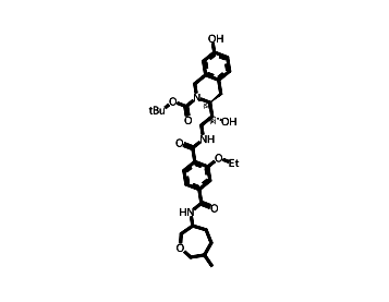 CCOc1cc(C(=O)NC2CCC(C)COC2)ccc1C(=O)NC[C@@H](O)[C@@H]1Cc2ccc(O)cc2CN1C(=O)OC(C)(C)C